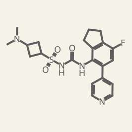 CN(C)C1CC(S(=O)(=O)NC(=O)Nc2c(-c3ccncc3)cc(F)c3c2CCC3)C1